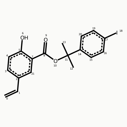 C=Cc1ccc(O)c(C(=O)OC(C)(C)c2ccc(I)cc2)c1